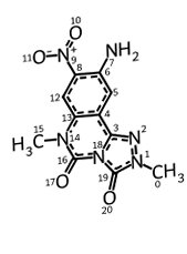 Cn1nc2c3cc(N)c([N+](=O)[O-])cc3n(C)c(=O)n2c1=O